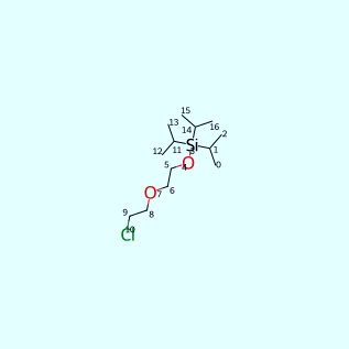 CC(C)[Si](OCCOCCCl)(C(C)C)C(C)C